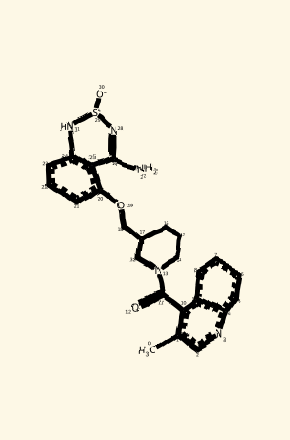 Cc1cnc2ccccc2c1C(=O)N1CCCC(COc2cccc3c2C(N)=N[S+]([O-])N3)C1